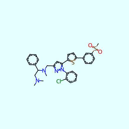 CN(C)CC(c1ccccc1)N(C)Cc1cc(-c2ccc(-c3cccc(S(C)(=O)=O)c3)s2)n(-c2ccccc2Cl)n1